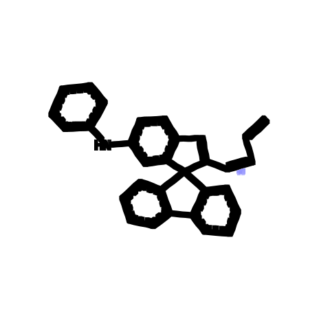 C=C/C=C\C1=Cc2ccc(Nc3ccccc3)cc2C12c1ccccc1-c1ccccc12